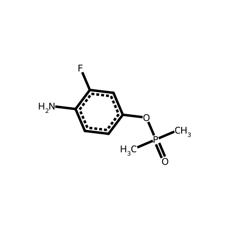 CP(C)(=O)Oc1ccc(N)c(F)c1